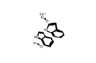 CC(=O)[O-].CC(=O)[O-].[Fe+2].c1ccc2[nH]ccc2c1.c1ccc2[nH]ccc2c1